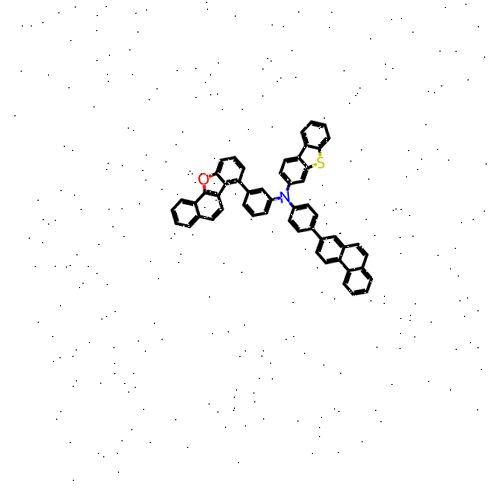 c1cc(-c2cccc3oc4c5ccccc5ccc4c23)cc(N(c2ccc(-c3ccc4c(ccc5ccccc54)c3)cc2)c2ccc3c(c2)sc2ccccc23)c1